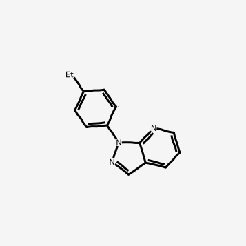 CCc1c[c]c(-n2ncc3cccnc32)cc1